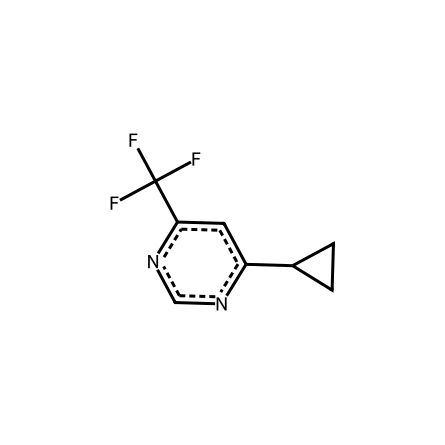 FC(F)(F)c1cc(C2CC2)ncn1